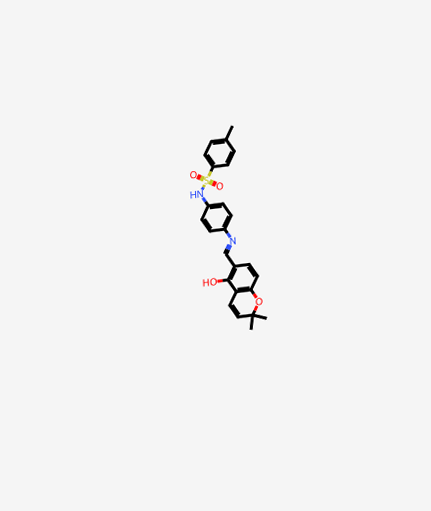 Cc1ccc(S(=O)(=O)Nc2ccc(N=Cc3ccc4c(c3O)C=CC(C)(C)O4)cc2)cc1